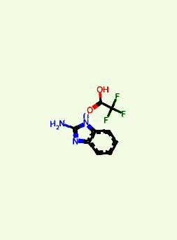 Nc1nc2ccccc2[nH]1.O=C(O)C(F)(F)F